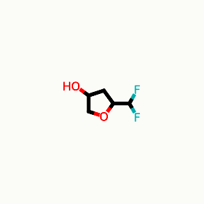 OC1COC(C(F)F)C1